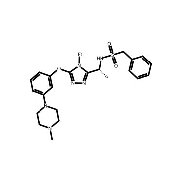 CCn1c(Oc2cccc(N3CCN(C)CC3)c2)nnc1[C@@H](C)NS(=O)(=O)Cc1ccccc1